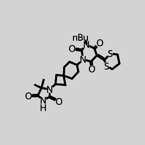 CCCCN1C(=O)C(=C2SCCCS2)C(=O)N(C2CCC3(CC2)CC(N2C(=O)NC(=O)C2(C)C)C3)C1=O